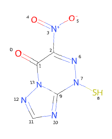 O=c1c([N+](=O)[O-])nn(S)c2ncnn12